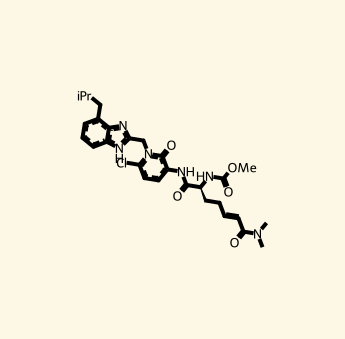 COC(=O)N[C@@H](CC/C=C/C(=O)N(C)C)C(=O)Nc1ccc(Cl)n(Cc2nc3c(CC(C)C)cccc3[nH]2)c1=O